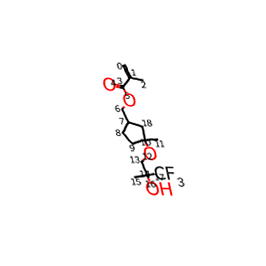 C=C(C)C(=O)OCC1CCC(C)(OCC(C)(O)C(F)(F)F)C1